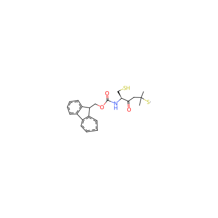 CC(C)([S])CC(=O)[C@H](CS)NC(=O)OCC1c2ccccc2-c2ccccc21